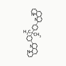 CC(C)(c1ccc(-c2ccc3ccc4cccnc4c3n2)cc1)c1cccc(-c2ccc3ccc4cccnc4c3n2)c1